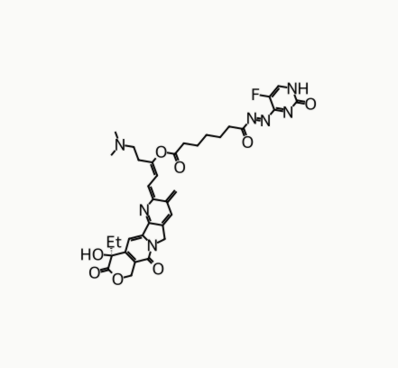 C=c1cc2c(n/c1=C/C=C(\CCN(C)C)OC(=O)CCCCCC(=O)/N=N/c1nc(=O)[nH]cc1F)-c1cc3c(c(=O)n1C2)COC(=O)[C@]3(O)CC